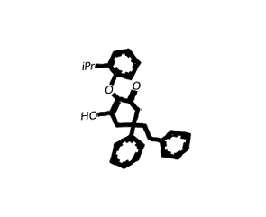 CC(C)c1ccccc1OC1=C(O)CC(CCc2ccccc2)(c2ccccc2)[CH]C1=O